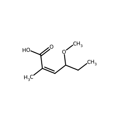 CCC(C=C(C)C(=O)O)OC